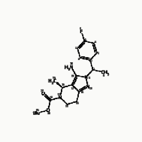 CC(c1ccc(F)cc1)n1nc2c(c1N)[C@H](C)N(C(=O)OC(C)(C)C)CC2